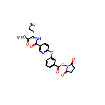 COC(=O)[C@H](CCC(C)(C)C)NC(=O)c1ccc(Oc2cccc(C(=O)ON3C(=O)CCC3=O)c2)nc1